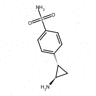 N[C@@H]1C[C@H]1c1ccc(S(N)(=O)=O)cc1